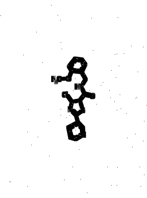 O=C(NCc1ccccc1OC(F)(F)F)C1SC(c2cccnc2)=NC1Cl